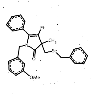 CCC1=C(c2ccccc2)N(Cc2cccc(OC)c2)C(=O)C1(C)C[Se]Cc1ccccc1